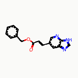 O=C(/C=C/c1cnc2[nH]cnc2c1)OCc1ccccc1